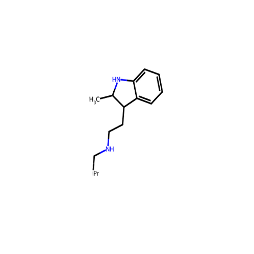 CC(C)CNCCC1c2ccccc2NC1C